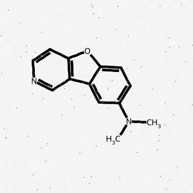 CN(C)c1ccc2oc3ccncc3c2c1